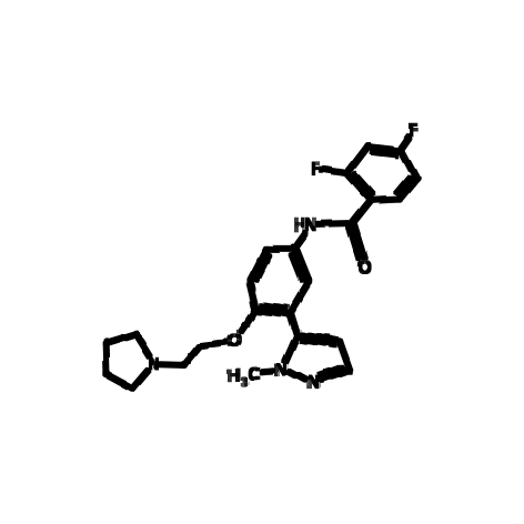 Cn1nccc1-c1cc(NC(=O)c2ccc(F)cc2F)ccc1OCCN1CCCC1